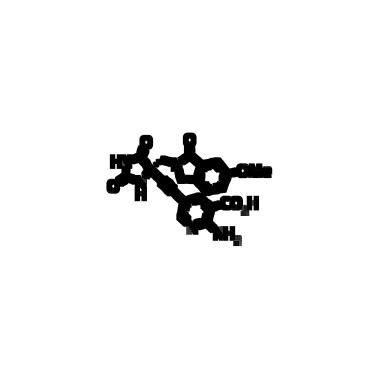 COc1ccc2c(c1)C(=O)N(C[C@]1(C#Cc3cnc(N)c(C(=O)O)c3)NC(=O)NC1=O)C2